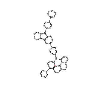 c1ccc(-c2ccc(N(c3ccc(-c4ccc5c(c4)c4ccccc4n5-c4ccc(-c5ccccc5)cc4)cc3)c3cccc4ccc5ccccc5c34)cc2)cc1